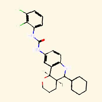 O=C(Nc1ccc2c(c1)[C@H]1OCCC[C@H]1C(C1CCCCC1)N2)Nc1cccc(Cl)c1Cl